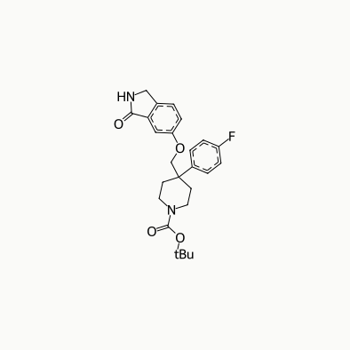 CC(C)(C)OC(=O)N1CCC(COc2ccc3c(c2)C(=O)NC3)(c2ccc(F)cc2)CC1